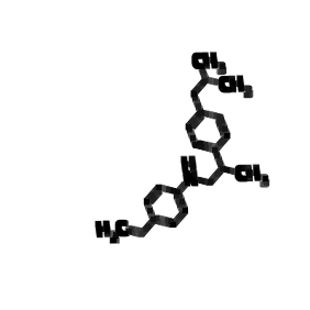 C=Cc1ccc(NCC(C)c2ccc(CC(C)C)cc2)cc1